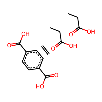 C=C.CCC(=O)O.CCC(=O)O.O=C(O)c1ccc(C(=O)O)cc1